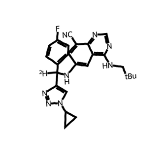 [2H]C(Nc1cc(C#N)c2ncnc(NCC(C)(C)C)c2c1)(c1ccc(F)cc1)c1cn(C2CC2)nn1